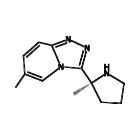 Cc1ccc2nnc([C@]3(C)CCCN3)n2c1